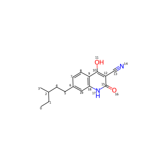 CCC(C)CCc1ccc2c(O)c(C#N)c(=O)[nH]c2c1